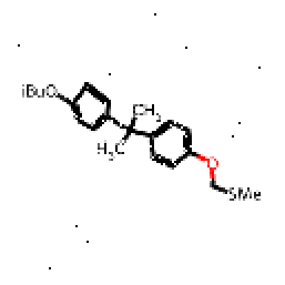 CSCOc1ccc(C(C)(C)c2ccc(OCC(C)C)cc2)cc1